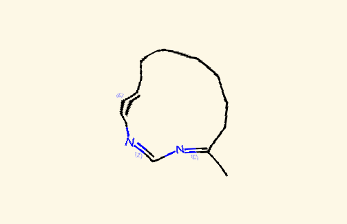 C\C1=N/C=N\C=C\CCCCCC1